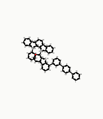 c1ccc(-c2ccc(-c3cccc(-c4cccc5c4sc4c(-n6c7ccccc7c7ccc8c9ccccc9n(-c9ccccc9)c8c76)cccc45)c3)cc2)cc1